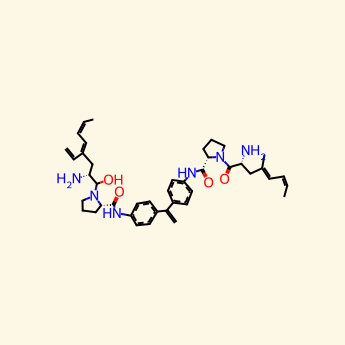 C=C/C(=C\C=C/C)C[C@@H](N)C(O)N1CCC[C@H]1C(=O)Nc1ccc(C(=C)c2ccc(NC(=O)[C@@H]3CCCN3C(=O)[C@H](N)C/C(C)=C/C=C\C)cc2)cc1